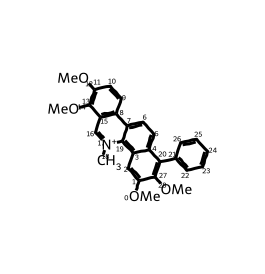 COc1cc2c(ccc3c4ccc(OC)c(OC)c4c[n+](C)c23)c(-c2ccccc2)c1OC